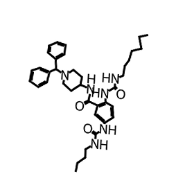 CCCCCCCNC(=O)Nc1ccc(NC(=O)NCCCC)cc1C(=O)NC1CCN(C(c2ccccc2)c2ccccc2)CC1